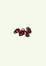 C=C(C)C(=NOC(=O)CC)c1ccc2c(c1)c1cc(C(=O)c3cccc4c(C(=O)c5ccc6c(c5)c5cc(C(CC(C)C)=NOC(=O)CC)ccc5n6-c5ccc(/C(=N/OC(=O)CC)c6ccc7c(c6)OCCO7)cc5)cccc34)ccc1n2-c1ccc(/C(CC2CCCC2)=N/OC(=O)CC)cc1